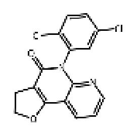 O=c1c2c(c3cccnc3n1-c1cc(Cl)ccc1Cl)OCC2